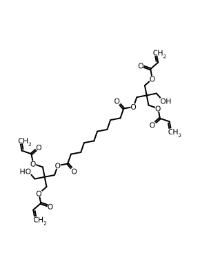 C=CC(=O)OCC(CO)(COC(=O)C=C)COC(=O)CCCCCCCCC(=O)OCC(CO)(COC(=O)C=C)COC(=O)C=C